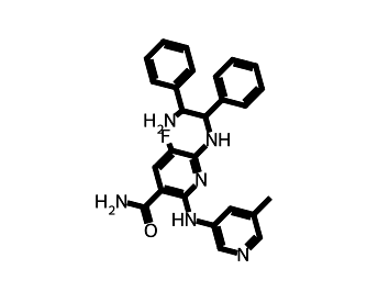 Cc1cncc(Nc2nc(NC(c3ccccc3)C(N)c3ccccc3)c(F)cc2C(N)=O)c1